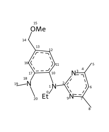 CCN(c1nc(C)cc(C)n1)c1ccc(COC)cc1N(C)C